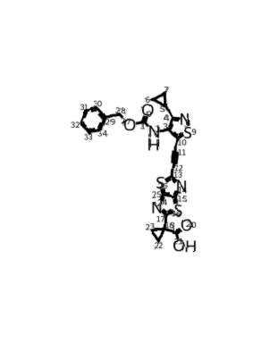 O=C(Nc1c(C2CC2)nsc1C#Cc1nc2sc(C3(C(=O)O)CC3)nc2s1)OCc1ccccc1